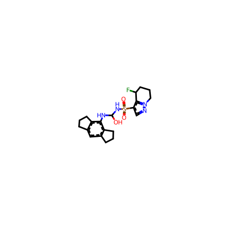 O=S(=O)(NC(O)Nc1c2c(cc3c1CCC3)CCC2)c1cnn2c1C(F)CCC2